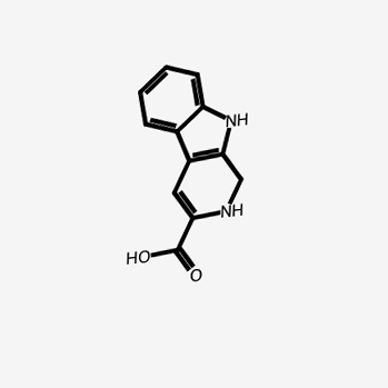 O=C(O)C1=Cc2c([nH]c3ccccc23)CN1